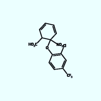 O=C(O)C1C=CC=CC1(Oc1ccc(C(F)(F)F)cc1Cl)[N+](=O)[O-]